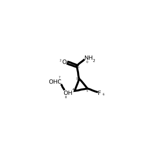 NC(=O)C1CC1F.O=CO